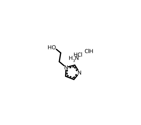 Cl.Cl.N.OCCn1ccnc1